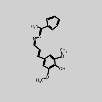 COc1cc(/C=C/C=N\N=C(/N)c2ccccc2)cc(OC)c1O